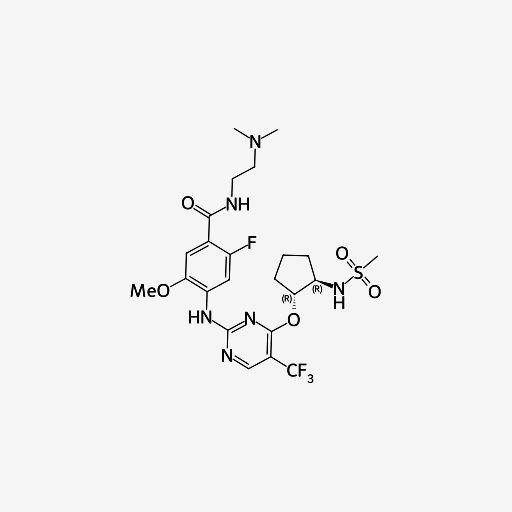 COc1cc(C(=O)NCCN(C)C)c(F)cc1Nc1ncc(C(F)(F)F)c(O[C@@H]2CCC[C@H]2NS(C)(=O)=O)n1